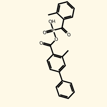 Cc1cc(-c2ccccc2)ccc1C(=O)OP(=O)(O)C(=O)c1ccccc1C